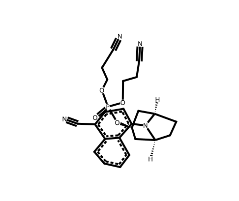 N#CCCOP(=O)(OCCC#N)O[C@H]1C[C@H]2CC[C@@H](C1)N2c1ccc(C#N)c2ccccc12